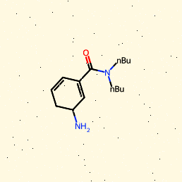 CCCCN(CCCC)C(=O)C1=CC(N)CC=C1